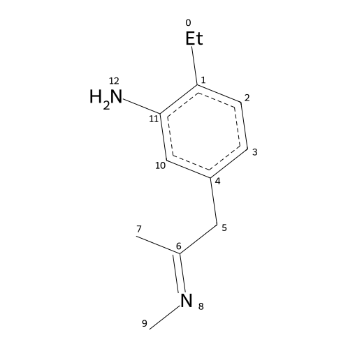 CCc1ccc(C/C(C)=N/C)cc1N